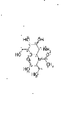 CC(=O)N(C1O[C@@H](CO)[C@H](O)[C@@H](O)[C@@H]1N)[C@@H](CO)C(=O)O